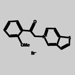 COc1ccccc1C(=O)C[n+]1ccc2sccc2c1.[Br-]